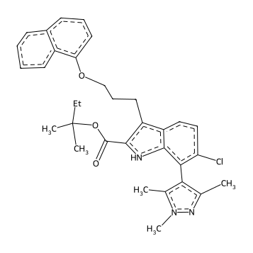 CCC(C)(C)OC(=O)c1[nH]c2c(-c3c(C)nn(C)c3C)c(Cl)ccc2c1CCCOc1cccc2ccccc12